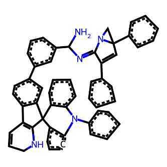 NC(/N=C1/C(c2ccccc2)=CC2(c3ccccc3)CN12)c1cccc(-c2ccc3c(c2)C2(C4=C3C=CCN4)c3ccccc3N(c3ccccc3)c3ccccc32)c1